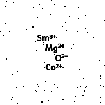 [Co+2].[Mg+2].[O-2].[Sm+3]